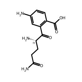 NC(=O)CC[C@H](N)C(=O)c1cc(N)ccc1C(=O)O